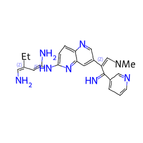 CCC(=C/N)/C=C(\N)Nc1ccc2ncc(/C(=C/NC)C(=N)c3cccnc3)cc2n1